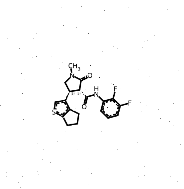 CN1C[C@H](c2csc3c2CCC3)[C@@H](C(=O)Nc2cccc(F)c2F)C1=O